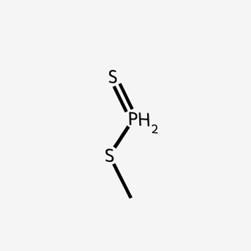 CS[PH2]=S